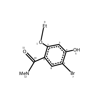 CCOc1cc(O)c(Br)cc1C(=O)NC